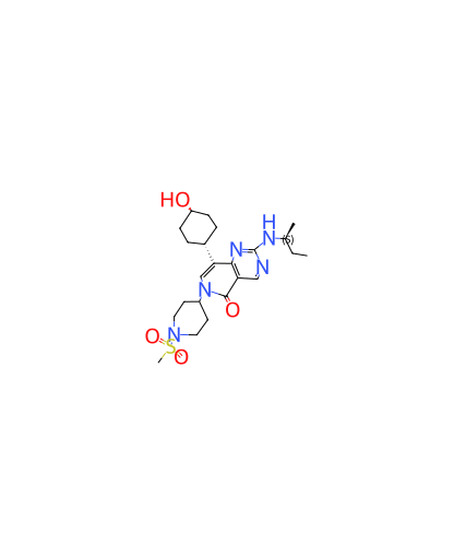 CC[C@H](C)Nc1ncc2c(=O)n(C3CCN(S(C)(=O)=O)CC3)cc([C@H]3CC[C@H](O)CC3)c2n1